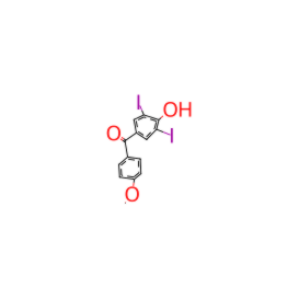 COc1ccc(C(=O)c2cc(I)c(O)c(I)c2)cc1